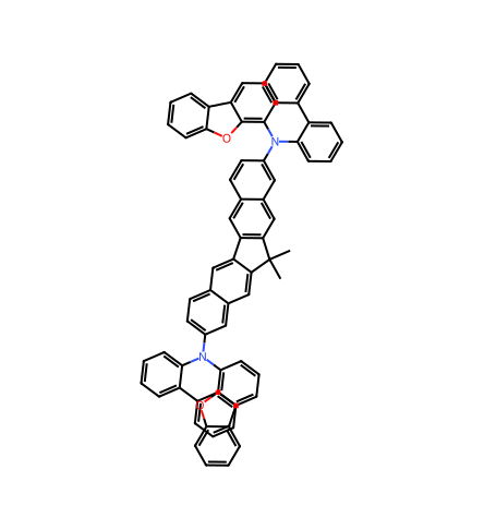 CC1(C)c2cc3cc(N(c4ccccc4-c4ccccc4)c4cccc5c4oc4ccccc45)ccc3cc2-c2cc3ccc(N(c4ccccc4-c4ccccc4)c4cccc5c4oc4ccccc45)cc3cc21